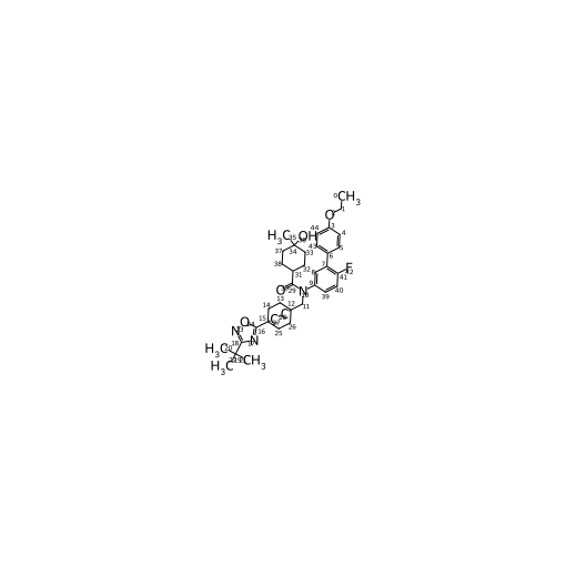 CCOc1ccc(-c2cc(N(CC34CCC(c5nc(C(C)(C)C)no5)(CC3)CC4)C(=O)C3CCC(C)(O)CC3)ccc2F)cc1